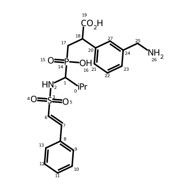 CC(C)C(NS(=O)(=O)C=Cc1ccccc1)P(=O)(O)CC(C(=O)O)c1cccc(CN)c1